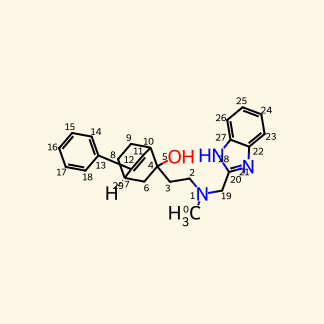 CN(CCC1(O)C[C@H]2CCC1C=C2c1ccccc1)Cc1nc2ccccc2[nH]1